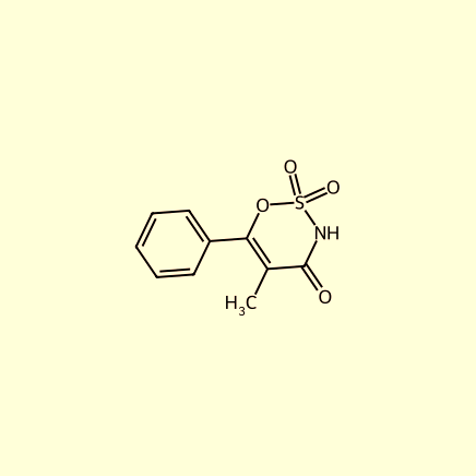 CC1=C(c2ccccc2)OS(=O)(=O)NC1=O